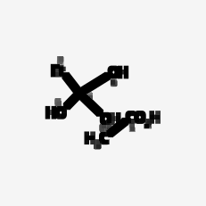 CC(=O)O.CCC(O)(O)O